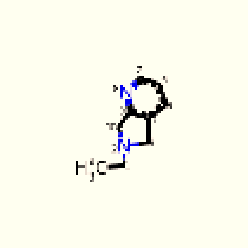 CCN1Cc2cccnc2C1